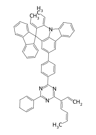 C=C/C(=C\C=C/C)c1nc(C2=CCCC=C2)nc(-c2ccc(-c3cc4c5c(c3)c3ccccc3n5C(=C/C)/C(=C\C)C43c4ccccc4-c4ccccc43)cc2)n1